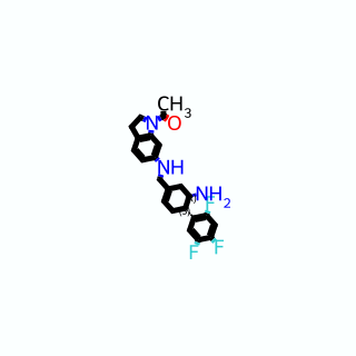 CC(=O)N1CCc2ccc(NCC3=CC[C@@H](c4cc(F)c(F)cc4F)[C@H](N)C3)cc21